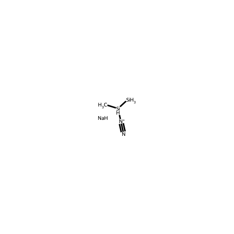 C[SiH]([SiH3])[N+]#N.[NaH]